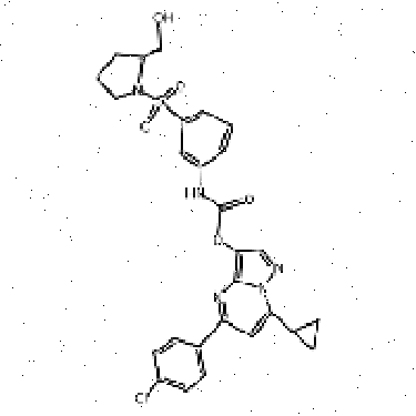 O=C(Nc1cccc(S(=O)(=O)N2CCC[C@H]2CO)c1)Oc1cnn2c(C3CC3)cc(-c3ccc(Cl)cc3)nc12